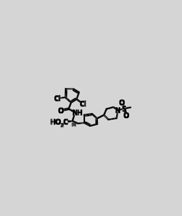 CS(=O)(=O)N1CCC(c2ccc(C[C@H](NC(=O)c3c(Cl)cccc3Cl)C(=O)O)cc2)CC1